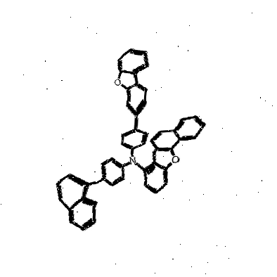 c1ccc2c(-c3ccc(N(c4ccc(-c5ccc6c(c5)oc5ccccc56)cc4)c4cccc5oc6c7ccccc7ccc6c45)cc3)cccc2c1